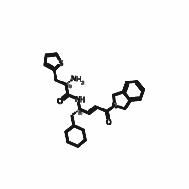 N[C@@H](Cc1cccs1)C(=O)N[C@H](C=CC(=O)N1Cc2ccccc2C1)CC1CCCCC1